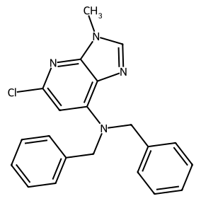 Cn1cnc2c(N(Cc3ccccc3)Cc3ccccc3)cc(Cl)nc21